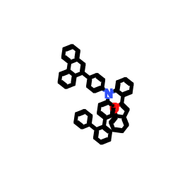 c1ccc(-c2ccccc2-c2ccc(N(c3ccc(-c4cc5ccccc5c5ccccc45)cc3)c3ccccc3-c3cc4ccccc4o3)cc2)cc1